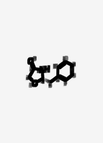 O=C1CO[C@@H](Cc2ccccc2)N1